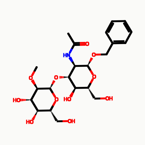 CO[C@H]1[C@H](O[C@H]2[C@H](O)[C@@H](CO)O[C@@H](OCc3ccccc3)[C@@H]2NC(C)=O)O[C@H](CO)[C@H](O)[C@@H]1O